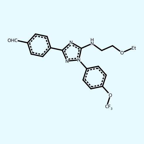 CCOCCNc1nc(-c2ccc(C=O)cc2)nn1-c1ccc(OC(F)(F)F)cc1